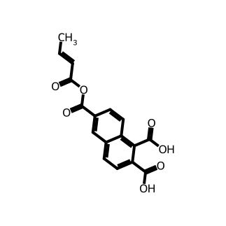 CC=CC(=O)OC(=O)c1ccc2c(C(=O)O)c(C(=O)O)ccc2c1